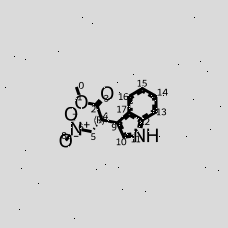 COC(=O)[C@@H](C[N+](=O)[O-])c1c[nH]c2ccccc12